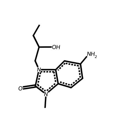 CCC(O)Cn1c(=O)n(C)c2ccc(N)cc21